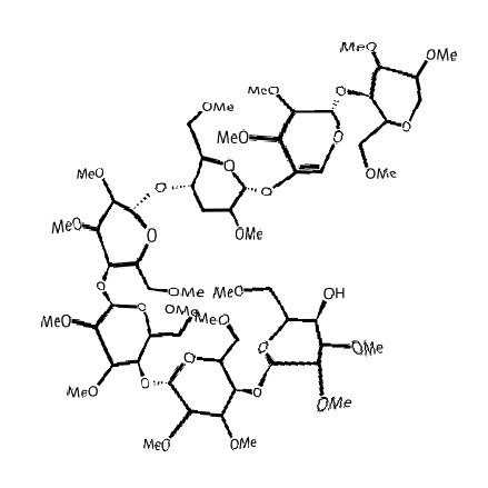 COCC1O[C@H](O[C@@H]2C(COC)O[C@@H](O[C@@H]3C(COC)O[C@H](O[C@@H]4C(COC)O[C@@H](O[C@H]5CC(OC)[C@@H](OC6=CO[C@@H](O[C@@H]7C(COC)OCC(OC)C7OC)C(OC)C6OC)OC5COC)C(OC)C4OC)C(OC)C3OC)C(OC)C2OC)C(OC)C(OC)[C@@H]1O